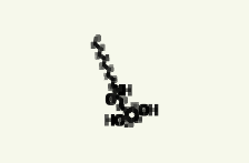 CCCCCCCCCCNC(=O)C=Cc1cc(O)ccc1O